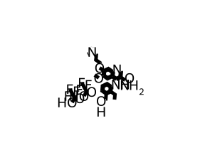 CCc1c(CO)cccc1Nc1c(C(N)=O)cnc2cc(OCCCN(C)C)c(OC)cc12.O=C(O)C(F)(F)F.O=C(O)C(F)(F)F